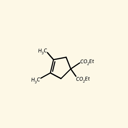 CCOC(=O)C1(C(=O)OCC)CC(C)=C(C)C1